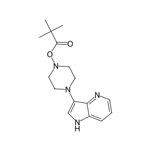 CC(C)(C)C(=O)ON1CCN(c2c[nH]c3cccnc23)CC1